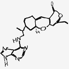 Cc1cc2c(c(=O)o1)C=C1CC[C@H](C(C)CNc3ncnc4[nH]cnc34)C[C@@H]1O2